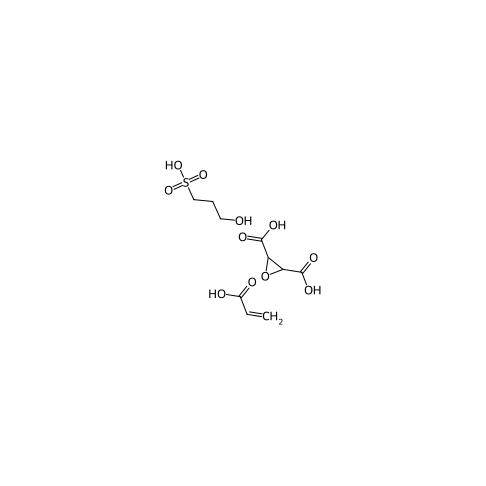 C=CC(=O)O.O=C(O)C1OC1C(=O)O.O=S(=O)(O)CCCO